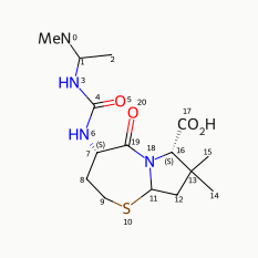 CNC(C)NC(=O)N[C@H]1CCSC2CC(C)(C)[C@@H](C(=O)O)N2C1=O